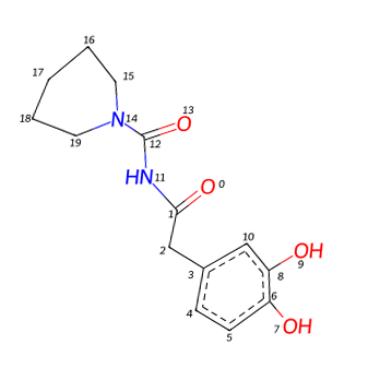 O=C(Cc1ccc(O)c(O)c1)NC(=O)N1CCCCC1